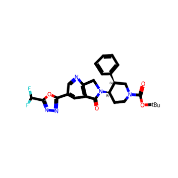 CC(C)(C)OC(=O)N1CC[C@@H](N2Cc3ncc(-c4nnc(C(F)F)o4)cc3C2=O)[C@@H](c2ccccc2)C1